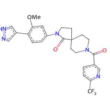 COc1cc(N2CCC3(CCN(C(=O)c4ccc(C(F)(F)F)nc4)CC3)C2=O)ccc1-c1cn[nH]c1